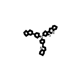 c1ccc2cc(-c3ccc(N(c4ccc(-c5ccc6ccccc6n5)cc4)c4ccc5c(c4)sc4nc6ccccc6cc45)cc3)ccc2c1